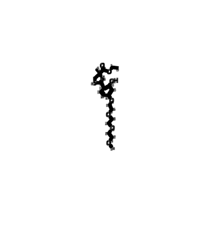 CCOC(=O)[C@@]1(C)CSC(c2ccc(OCCOCCOCCOC)cc2O)=N1